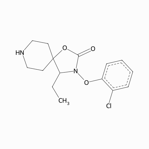 CCC1N(Oc2ccccc2Cl)C(=O)OC12CCNCC2